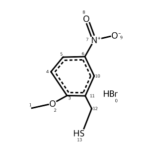 Br.COc1ccc([N+](=O)[O-])cc1CS